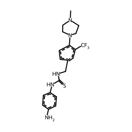 CN1CCN(c2ccc(CNC(=S)Nc3ccc(N)cc3)cc2C(F)(F)F)CC1